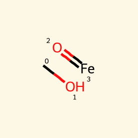 CO.[O]=[Fe]